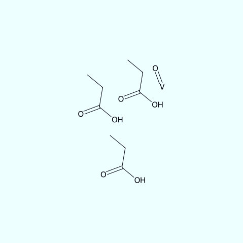 CCC(=O)O.CCC(=O)O.CCC(=O)O.[O]=[V]